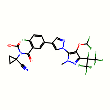 Cn1nc(C(F)(C(F)(F)F)C(F)(F)F)c(OC(F)F)c1-n1cc(-c2ccc(Cl)c(C(=O)N(C(=O)O)C3(C#N)CC3)c2)cn1